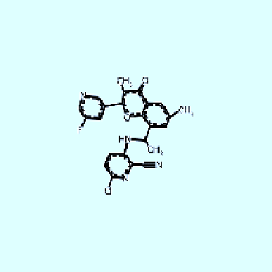 Cc1cc(C(C)Nc2ccc(Cl)nc2C#N)c2oc(-c3cncc(F)c3)c(C)c(=O)c2c1